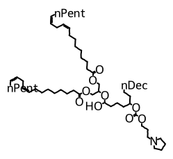 CCCCC/C=C\C/C=C\CCCCCCCC(=O)OCC(COC(=O)CCCCCCC/C=C\C/C=C\CCCCC)OC(O)CCCC(CCCCCCCCCCCC)OC(=O)OCCCN1CCCC1